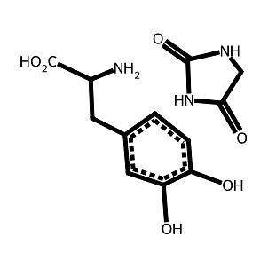 NC(Cc1ccc(O)c(O)c1)C(=O)O.O=C1CNC(=O)N1